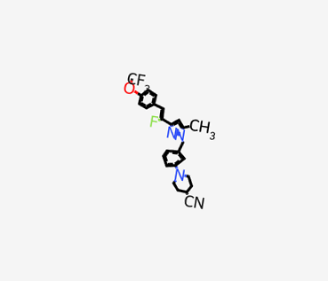 Cc1cc(C(F)=Cc2ccc(OC(F)(F)F)cc2)nn1Cc1cccc(N2CCC(C#N)CC2)c1